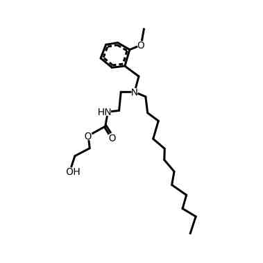 CCCCCCCCCCCCN(CCNC(=O)OCCO)Cc1ccccc1OC